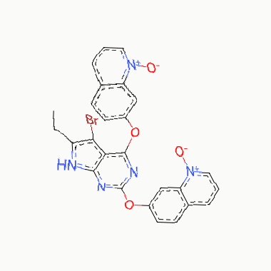 CCc1[nH]c2nc(Oc3ccc4ccc[n+]([O-])c4c3)nc(Oc3ccc4ccc[n+]([O-])c4c3)c2c1Br